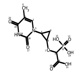 Cc1cn(C2CC2OC(C(=O)O)P(=O)(O)O)c(=O)[nH]c1=O